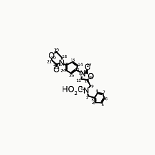 O=C(O)N(Cc1ccccc1)CC1CN(c2ccc(N3CCOCC3=O)cc2)C(=O)O1